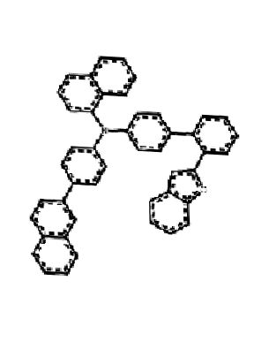 c1ccc(-c2cc3ccccc3o2)c(-c2ccc(N(c3ccc(-c4ccc5ccccc5c4)cc3)c3cccc4ccccc34)cc2)c1